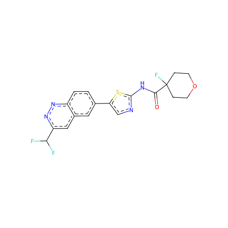 O=C(Nc1ncc(-c2ccc3nnc(C(F)F)cc3c2)s1)C1(F)CCOCC1